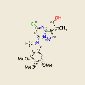 COc1cc(CN(C)c2cc(Cl)nc3c(C(C)CO)cnn23)cc(OC)c1OC